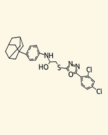 OC(CSc1nnc(-c2ccc(Cl)cc2Cl)o1)Nc1ccc(C23CC4CC(CC(C4)C2)C3)cc1